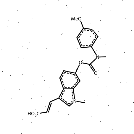 COc1ccc(N(C)C(=O)Oc2ccc3c(C=CC(=O)O)cn(C)c3c2)cc1